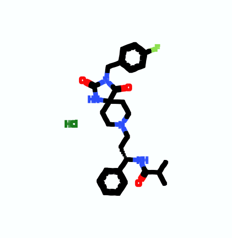 CC(C)C(=O)N[C@@H](CCN1CCC2(CC1)NC(=O)N(Cc1ccc(F)cc1)C2=O)c1ccccc1.Cl